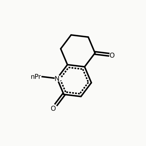 CCCn1c2c(ccc1=O)C(=O)CCC2